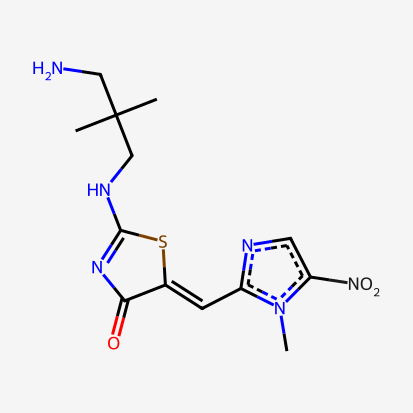 Cn1c([N+](=O)[O-])cnc1/C=C1\SC(NCC(C)(C)CN)=NC1=O